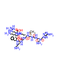 CSC[C@H](NC(=O)CNC(=O)CN(CCN)C(=O)Cn1cnc2c(N)ncnc21)C(=O)N[C@@H](CCCCN)C(=O)NCC(=O)N[C@@H](CCCCN)C(=O)NC(Cc1ccccc1)C(=O)C[C@@H](CCCCN)C(=O)N[C@@H](CCCNC(=N)N)C(=O)O